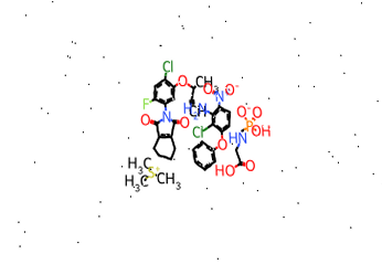 C#CC(C)Oc1cc(N2C(=O)C3=C(CCCC3)C2=O)c(F)cc1Cl.C[S+](C)C.Nc1c([N+](=O)[O-])ccc(Oc2ccccc2)c1Cl.O=C(O)CNCP(=O)([O-])O